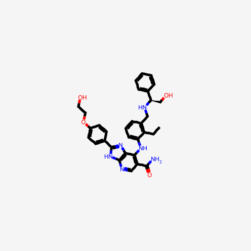 CCc1c(CN[C@H](CO)c2ccccc2)cccc1Nc1c(C(N)=O)cnc2[nH]c(-c3ccc(OCCO)cc3)nc12